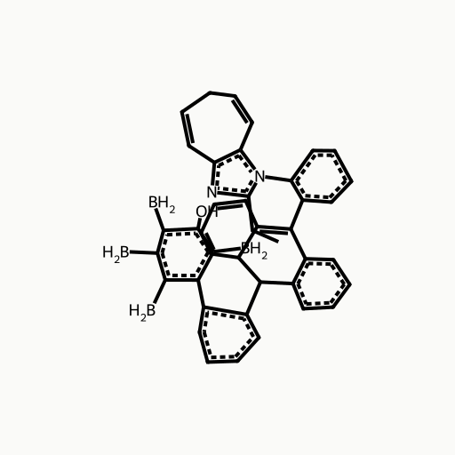 Bc1c(B)c(O)c(B)c(-c2ccccc2C2c3ccccc3C(c3ccccc3-n3c(CC)nc4c3C=CCC=C4)=C3C=CC=CC32)c1B